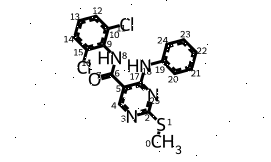 CSc1ncc(C(=O)Nc2c(Cl)cccc2Cl)c(Nc2ccccc2)n1